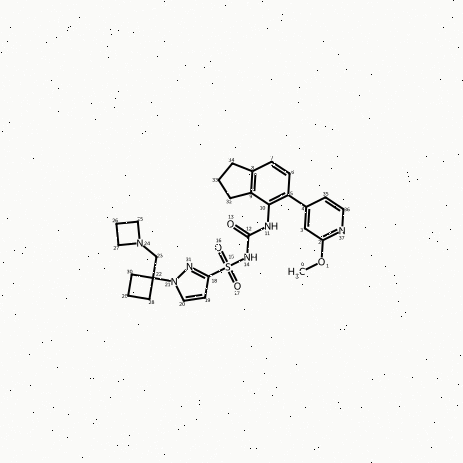 COc1cc(-c2ccc3c(c2NC(=O)NS(=O)(=O)c2ccn(C4(CN5CCC5)CCC4)n2)CCC3)ccn1